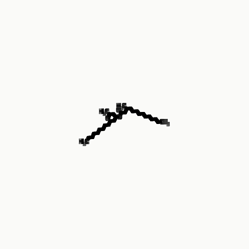 CCCCCCCCCCCC(C)CC(=O)OC(CCCCCCCCCCC)CC(C)=O